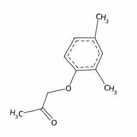 CC(=O)COc1ccc(C)cc1C